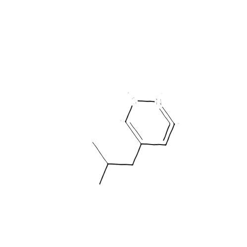 CC(C)CC1=CSN=C=C1